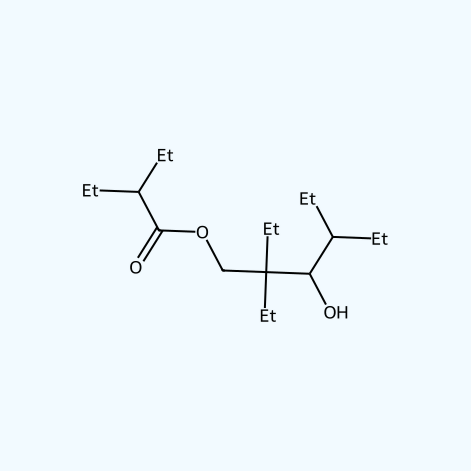 CCC(CC)C(=O)OCC(CC)(CC)C(O)C(CC)CC